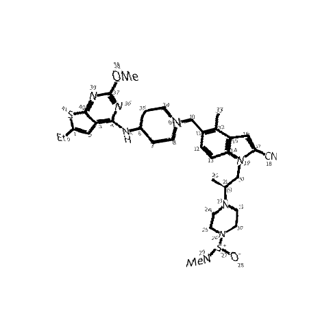 CCc1cc2c(NC3CCN(Cc4ccc5c(cc(C#N)n5C[C@H](C)N5CCN([S+]([O-])NC)CC5)c4C)CC3)nc(OC)nc2s1